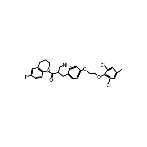 Cc1cc(Cl)c(OCCOc2ccc(CC(CN)C(=O)N3CCCc4cc(F)ccc43)cc2)c(Cl)c1